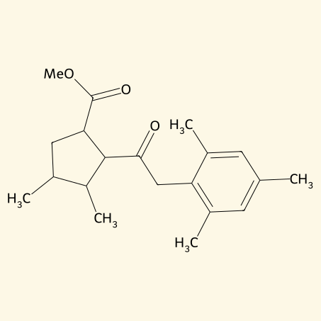 COC(=O)C1CC(C)C(C)C1C(=O)Cc1c(C)cc(C)cc1C